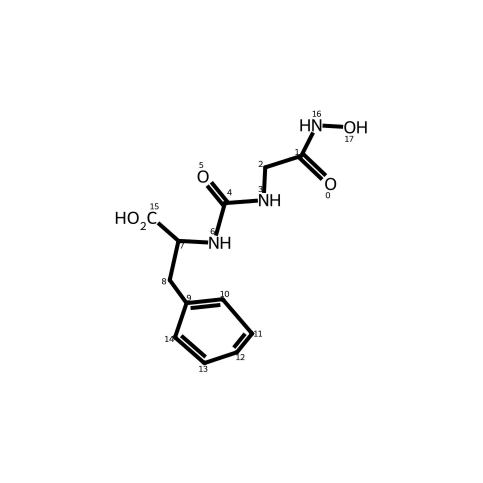 O=C(CNC(=O)NC(Cc1ccccc1)C(=O)O)NO